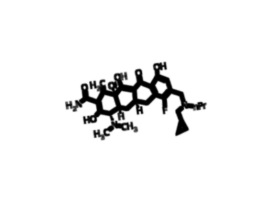 C=C1C(C(N)=O)=C(O)[C@@H](N(C)C)[C@@H]2C[C@@H]3Cc4c(F)c(CN(CCC)CC5CC5)cc(O)c4C(=O)C3=C(O)[C@]12O